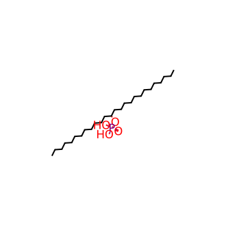 CCCCCCCCCCCCCC(CCCCCCCCCCCC)OP(=O)(O)O